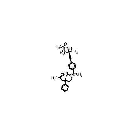 C=C(C)C[C@]1(c2ccccc2)CCN([C@@H](C)c2ccc(C#CC(C)(C)NS(C)(=O)=O)cc2)C(=O)O1